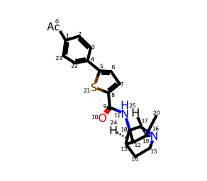 CC(=O)c1ccc(-c2ccc(C(=O)N[C@@H]3C4CCN(CC4)[C@H]3C)s2)cc1